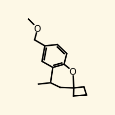 COCc1ccc2c(c1)C(C)CC1(CCC1)O2